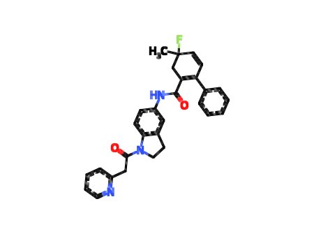 CC1(F)C=CC(c2ccccc2)=C(C(=O)Nc2ccc3c(c2)CCN3C(=O)Cc2ccccn2)C1